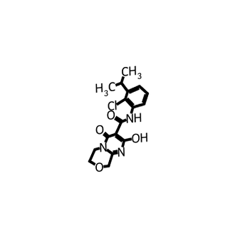 CC(C)c1cccc(NC(=O)c2c(O)nc3n(c2=O)CCOC3)c1Cl